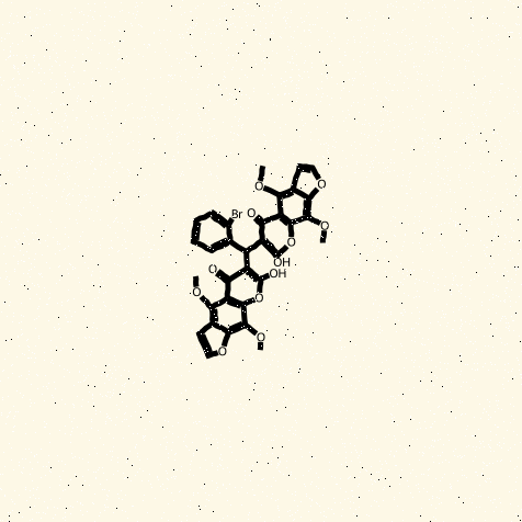 COc1c2occc2c(OC)c2c(=O)c(C(c3ccccc3Br)c3c(O)oc4c(OC)c5occc5c(OC)c4c3=O)c(O)oc12